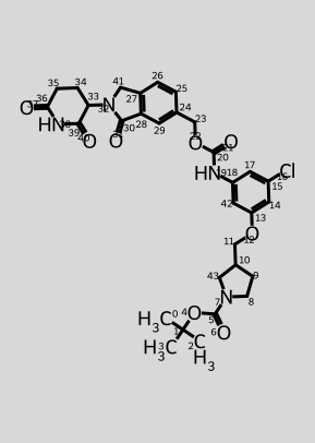 CC(C)(C)OC(=O)N1CCC(COc2cc(Cl)cc(NC(=O)OCc3ccc4c(c3)C(=O)N(C3CCC(=O)NC3=O)C4)c2)C1